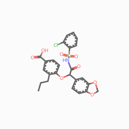 CCCc1cc(C(=O)O)ccc1OC(C(=O)NS(=O)(=O)c1ccccc1Cl)c1ccc2c(c1)OCO2